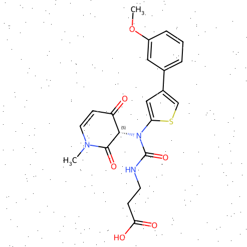 COc1cccc(-c2csc(N(C(=O)NCCC(=O)O)[C@H]3C(=O)C=CN(C)C3=O)c2)c1